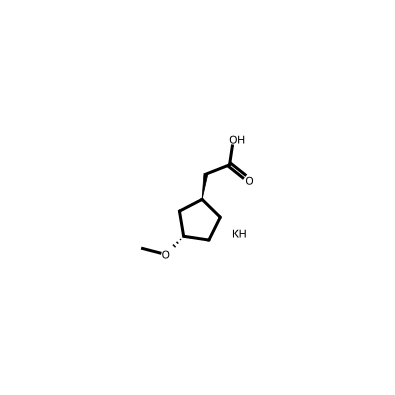 CO[C@H]1CC[C@H](CC(=O)O)C1.[KH]